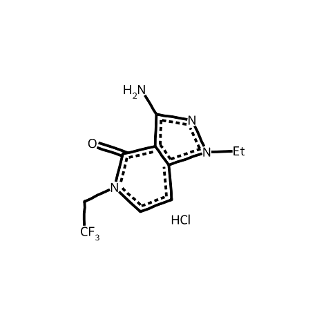 CCn1nc(N)c2c(=O)n(CC(F)(F)F)ccc21.Cl